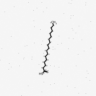 CCCCCCCCCCCCCCCCCC(=S)S